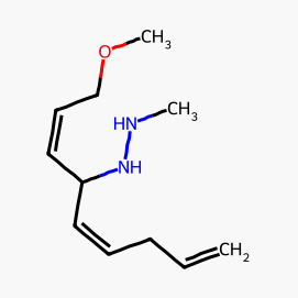 C=CC/C=C\C(/C=C\COC)NNC